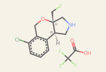 FC[C@@]12CNC[C@H]1c1cccc(Cl)c1CO2.O=C(O)C(F)(F)F